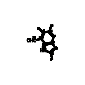 Cc1nc2cc(C)c(C)c(C=O)c2[nH]1